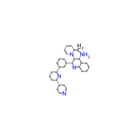 C=C1C=CC=CN1c1c(-c2cccc(-c3cccc(-c4ccncc4)n3)c2)nc2ccccc2c1N